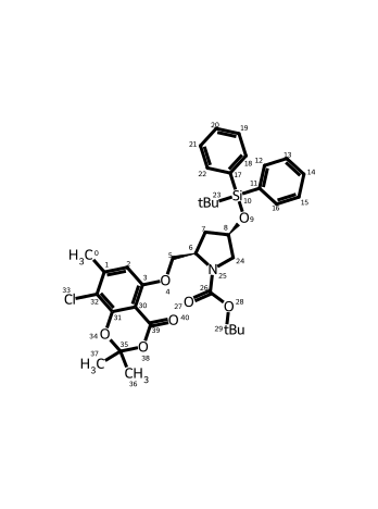 Cc1cc(OC[C@H]2C[C@@H](O[Si](c3ccccc3)(c3ccccc3)C(C)(C)C)CN2C(=O)OC(C)(C)C)c2c(c1Cl)OC(C)(C)OC2=O